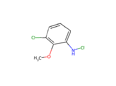 COc1c(Cl)cccc1NCl